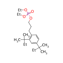 CCOP(=O)(OCC)OCCCc1ccc(C(C)(C)CC)cc1C(C)(C)CC